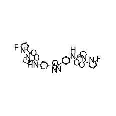 O=C(Nc1ccc(-c2nnc(-c3ccc(NC(=O)[C@H]4CCCN4C(=O)c4cccc(F)n4)cc3)o2)cc1)[C@H]1CCCN1C(=O)c1cccc(F)n1